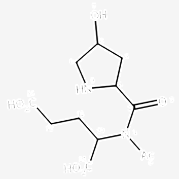 CC(=O)N(C(=O)C1CC(O)CN1)C(CCC(=O)O)C(=O)O